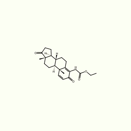 CCOC(=O)NC1=C2CC[C@@H]3[C@H](CC[C@]4(C)C(=O)CC[C@@H]34)[C@@]2(C)C=CC1=O